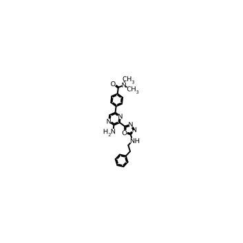 CN(C)C(=O)c1ccc(-c2cnc(N)c(-c3nnc(NCCc4ccccc4)o3)n2)cc1